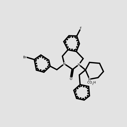 O=C(O)N1CCCCC1(Cc1ccccc1)N1Cc2cc(F)ccc2CN(Cc2ccc(Br)cc2)C1=O